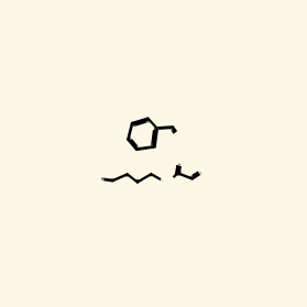 C=CC(=O)OCCCCO.C=Cc1ccccc1